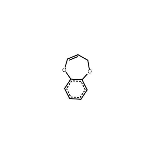 [c]1ccc2c(c1)OC=CCO2